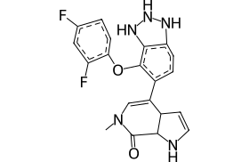 CN1C=C(c2ccc3c(c2Oc2ccc(F)cc2F)NNN3)C2C=CNC2C1=O